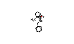 CC(C)[C@@H]1C2CCC1(C)[C@@H](NCc1ccccn1)C2